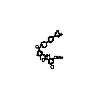 COc1cc(Cl)cc(C(=O)Nc2cc(C(=O)N3CCC(c4ccc(-c5cnn(C)c5)cc4)CC3)ccc2C)c1